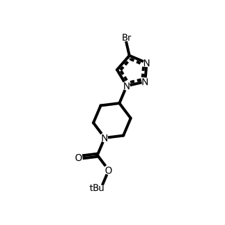 CC(C)(C)OC(=O)N1CCC(n2cc(Br)nn2)CC1